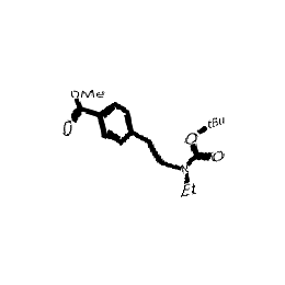 CCN(CCc1ccc(C(=O)OC)cc1)C(=O)OC(C)(C)C